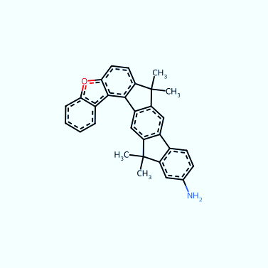 CC1(C)c2cc(N)ccc2-c2cc3c(cc21)-c1c(ccc2oc4ccccc4c12)C3(C)C